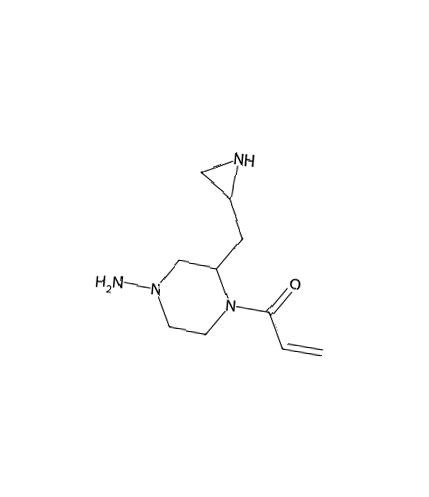 C=CC(=O)N1CCN(N)CC1CC1CN1